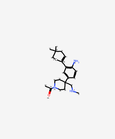 CNCC1(c2ccc(N)c(C3=CCC(C)(C)CC3)c2)CCN(C(C)=O)CC1